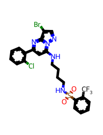 O=S(=O)(NCCCCNc1cc(-c2ccccc2Cl)nc2c(Br)cnn12)c1ccccc1C(F)(F)F